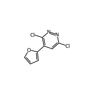 Clc1cc(-c2ccco2)c(Cl)nn1